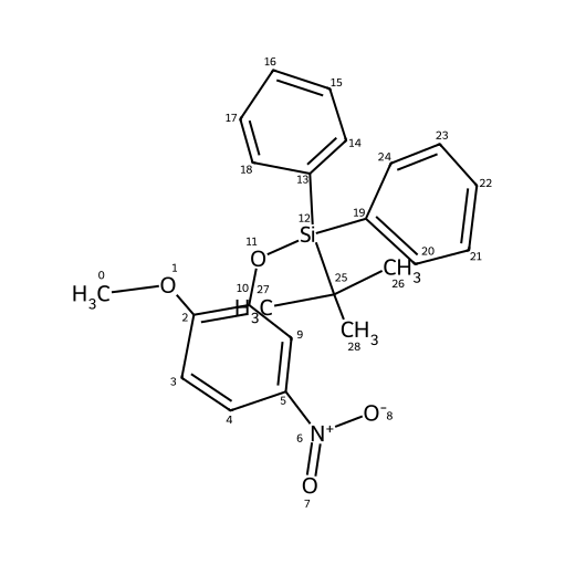 COc1ccc([N+](=O)[O-])cc1O[Si](c1ccccc1)(c1ccccc1)C(C)(C)C